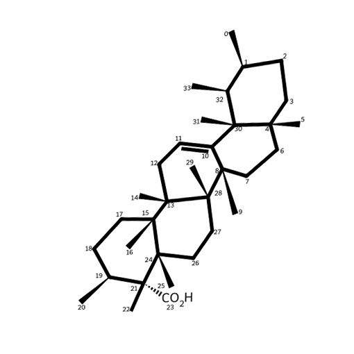 C[C@H]1CC[C@]2(C)CC[C@@]3(C)C(=CC[C@@]4(C)[C@@]5(C)CC[C@H](C)[C@@](C)(C(=O)O)[C@@]5(C)CC[C@]43C)[C@]2(C)[C@H]1C